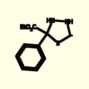 CCOC(=O)C1(c2ccccc2)NN[CH]S1